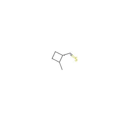 CC1CC[C]1C=S